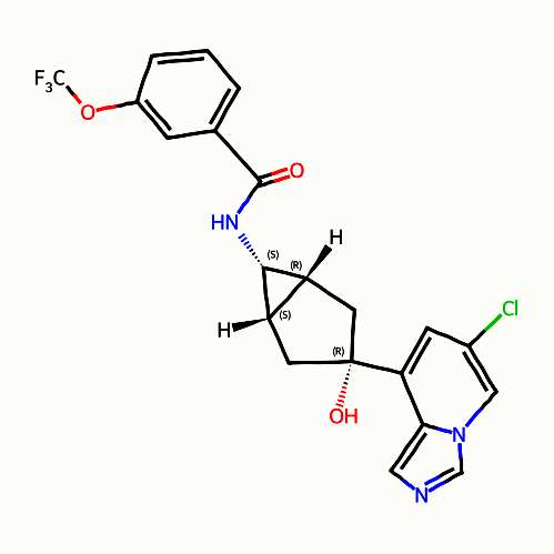 O=C(N[C@@H]1[C@@H]2C[C@@](O)(c3cc(Cl)cn4cncc34)C[C@@H]21)c1cccc(OC(F)(F)F)c1